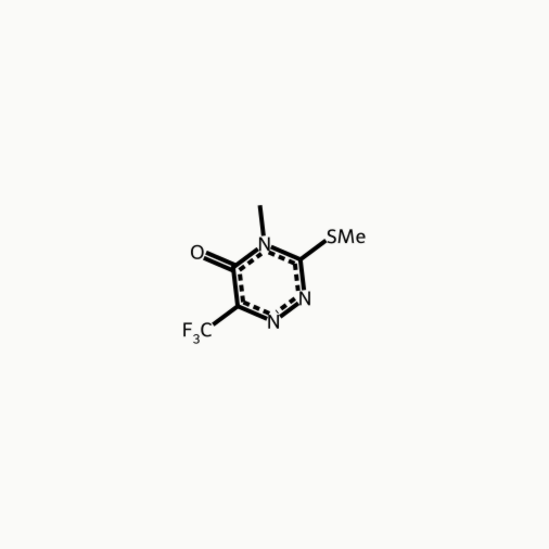 CSc1nnc(C(F)(F)F)c(=O)n1C